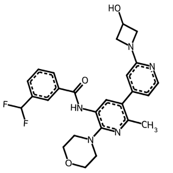 Cc1nc(N2CCOCC2)c(NC(=O)c2cccc(C(F)F)c2)cc1-c1ccnc(N2CC(O)C2)c1